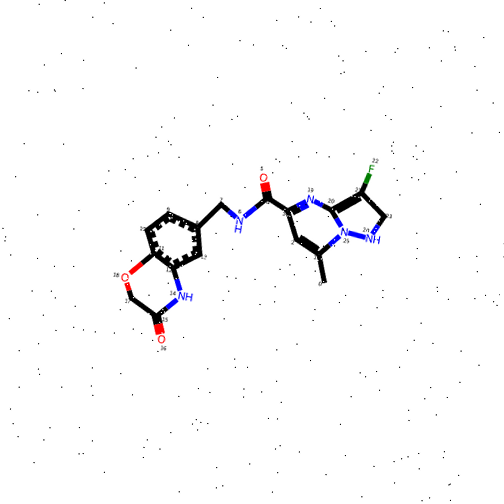 CC1=CC(C(=O)NCc2ccc3c(c2)NC(=O)CO3)=NC2=C(F)CNN12